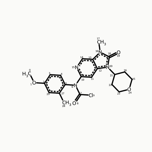 COc1ccc(N(C(=O)Cl)c2cc3c(cn2)n(C)c(=O)n3C2CCOCC2)c(C)c1